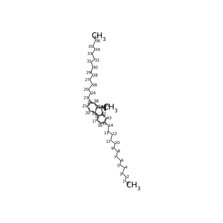 CCCCCCCCCCCCCCCc1ccc2c3ccc(CCCCCCCCCCCCCCC)cc3n(C)c2c1